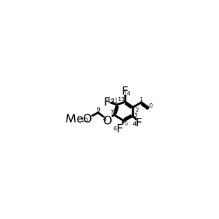 C=Cc1c(F)c(F)c(OCOC)c(F)c1F